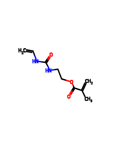 C=CNC(=O)NCCOC(=O)C(=C)C